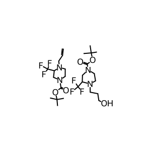 C=CCN1CCN(C(=O)OC(C)(C)C)CC1C(F)(F)F.CC(C)(C)OC(=O)N1CCN(CCCO)C(C(F)(F)F)C1